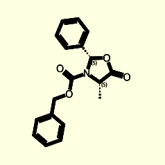 C[C@H]1C(=O)O[C@@H](c2ccccc2)N1C(=O)OCc1ccccc1